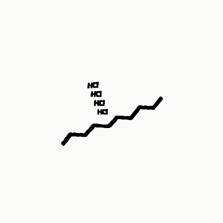 CCCCCCCCCC.Cl.Cl.Cl.Cl